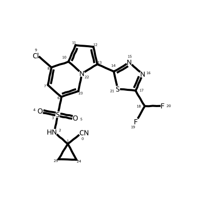 N#CC1(NS(=O)(=O)c2cc(Cl)c3ccc(-c4nnc(C(F)F)s4)n3c2)CC1